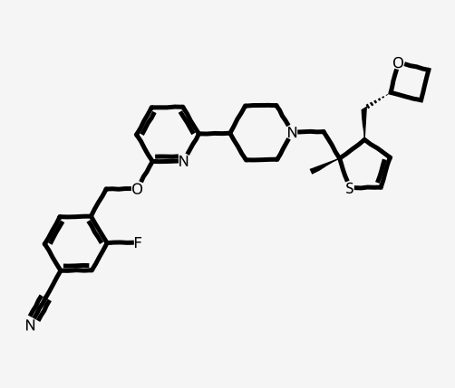 C[C@]1(CN2CCC(c3cccc(OCc4ccc(C#N)cc4F)n3)CC2)SC=C[C@@H]1C[C@H]1CCO1